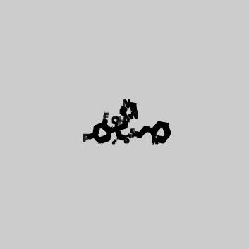 C[C@@H](SSCCc1ccccn1)[C@](O)(Cn1cncn1)c1ccc(F)cc1F